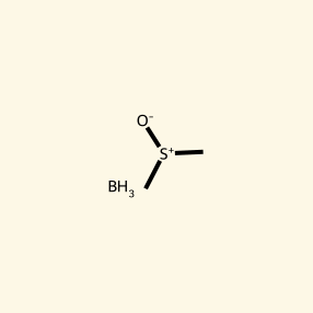 B.C[S+](C)[O-]